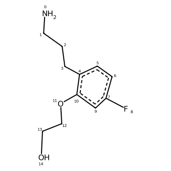 NCCCc1ccc(F)cc1OCCO